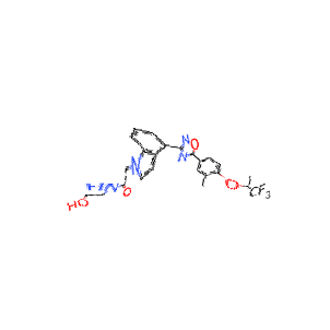 Cc1cc(-c2nc(-c3cccc4c3ccn4CC(=O)NCCO)no2)ccc1O[C@@H](C)C(F)(F)F